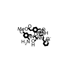 COC(=O)Cc1ccc(CS(=O)(=O)N[C@H](CCc2cccc[n+]2[O-])C(=O)N[C@@H](CO)C(=O)NCc2cc(Cl)ccc2CN)cc1